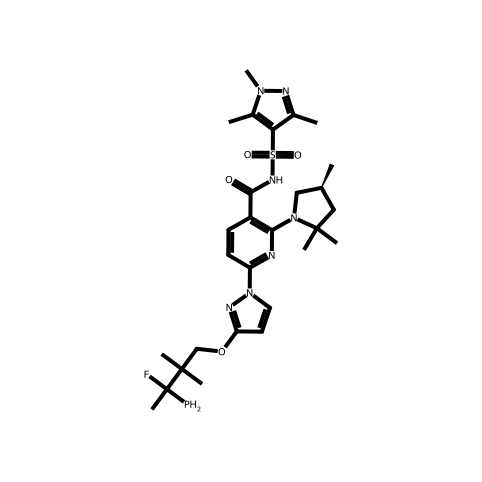 Cc1nn(C)c(C)c1S(=O)(=O)NC(=O)c1ccc(-n2ccc(OCC(C)(C)C(C)(F)P)n2)nc1N1C[C@@H](C)CC1(C)C